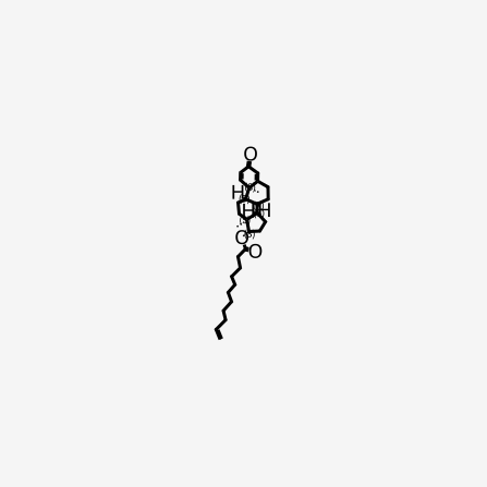 C=CCCCCCCCCC(=O)O[C@H]1CC[C@H]2[C@@H]3CCC4=CC(=O)C=C[C@]4(C)[C@H]3CC[C@]12C